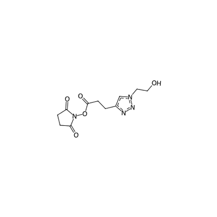 O=C(CCc1cn(CCO)nn1)ON1C(=O)CCC1=O